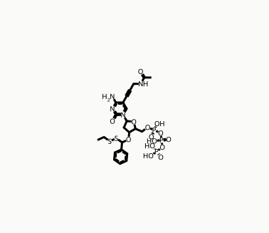 CCSSC(OC1CC(n2cc(C#CCNC(C)=O)c(N)nc2=O)OC1COP(=O)(O)OP(=O)(O)OP(=O)(O)O)c1ccccc1